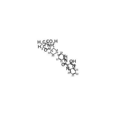 CC(C)(NC(=O)[C@H]1CC[C@H](c2ccc(NC(=O)c3nc4ccccc4nc3O)cc2)CC1)C(=O)O